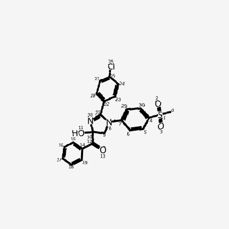 CS(=O)(=O)c1ccc(N2CC(O)(C(=O)c3ccccc3)N=C2c2ccc(Cl)cc2)cc1